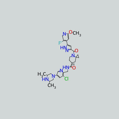 COc1cc(-c2cc(C(=O)N3CC[C@H](C(=O)NCc4ncc(N5CC(C)NC(C)C5)cc4Cl)CC34CC4)n[nH]2)c(F)cn1